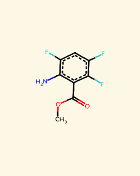 COC(=O)c1c(N)c(F)cc(F)c1F